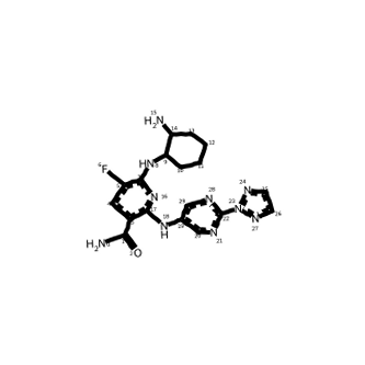 NC(=O)c1cc(F)c(NC2CCCCC2N)nc1Nc1cnc(-n2nccn2)nc1